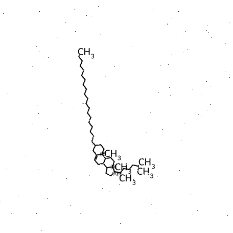 CCCCCCCCCCC[CH]CCCCCCCCC1CC[C@@]2(C)C(=CCC3C2CC[C@@]2(C)C3CC[C@@H]2[C@H](C)CCCC(C)C)C1